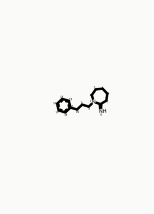 N=C1CCCCCN1CCCc1ccccc1